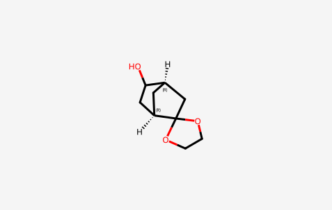 OC1C[C@H]2C[C@@H]1CC21OCCO1